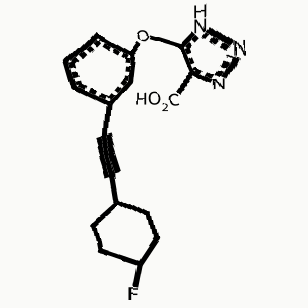 O=C(O)c1nn[nH]c1Oc1cccc(C#CC2CCC(F)CC2)c1